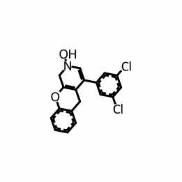 ON1C=C(c2cc(Cl)cc(Cl)c2)C2=C(C1)Oc1ccccc1C2